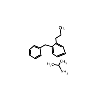 CC(C)N.CCCc1ccccc1Cc1ccccc1